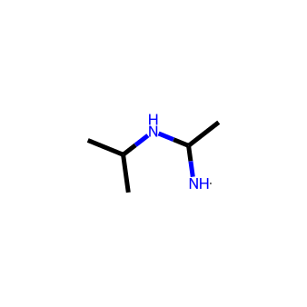 CC(C)NC(C)[NH]